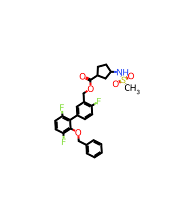 CS(=O)(=O)NC1CCC(C(=O)OCc2cc(-c3c(F)ccc(F)c3OCc3ccccc3)ccc2F)C1